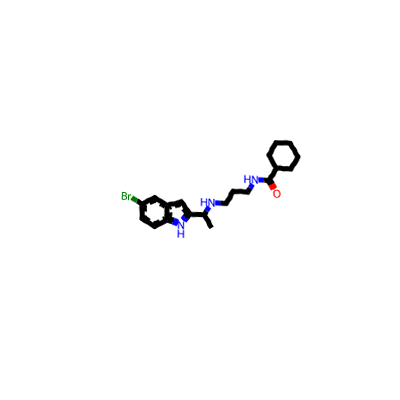 CC(NCCCNC(=O)C1CCCCC1)c1cc2cc(Br)ccc2[nH]1